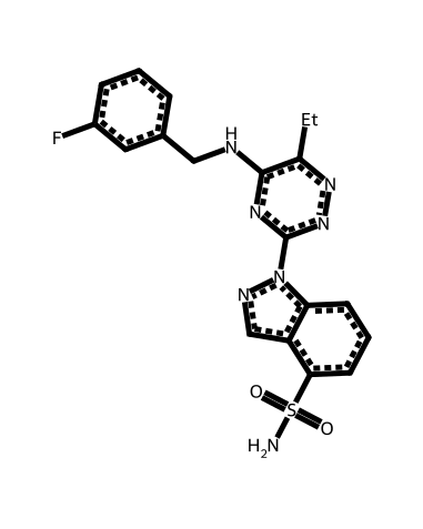 CCc1nnc(-n2ncc3c(S(N)(=O)=O)cccc32)nc1NCc1cccc(F)c1